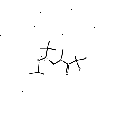 CC(C)N[C@H](CN(C)C(=O)C(F)(F)F)C(C)(C)C